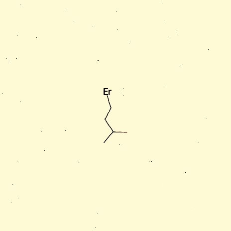 CC(C)C[CH2][Er]